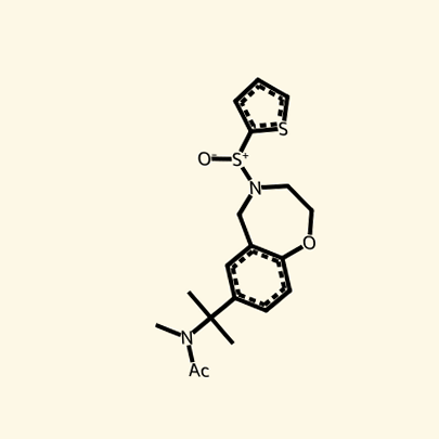 CC(=O)N(C)C(C)(C)c1ccc2c(c1)CN([S+]([O-])c1cccs1)CCO2